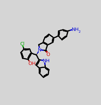 Nc1ccc(-c2ccc3c(c2)C(=O)N([C@@H](c2cc4ccccc4[nH]2)c2cc(Cl)ccc2O)C3)cc1